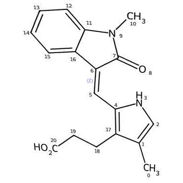 Cc1c[nH]c(/C=C2\C(=O)N(C)c3ccccc32)c1CCC(=O)O